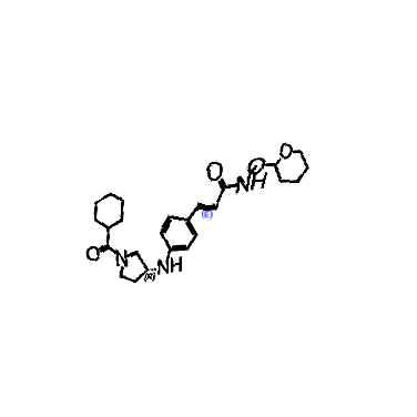 O=C(/C=C/c1ccc(N[C@@H]2CCN(C(=O)C3CCCCC3)C2)cc1)NOC1CCCCO1